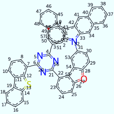 c1ccc(-c2nc(-c3cccc4c3sc3ccccc34)nc(-c3cccc4oc5ccc(-n6c7cc8ccccc8cc7c7c8ccccc8ccc76)cc5c34)n2)cc1